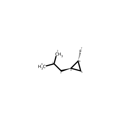 CC(C)C[C@@H]1C[C@H]1F